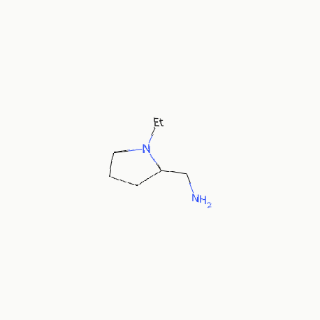 [CH2]CN1CCCC1CN